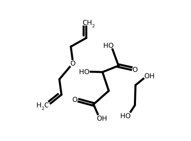 C=CCOCC=C.O=C(O)CC(O)C(=O)O.OCCO